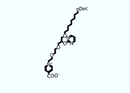 CCCCCCCCCCCCCCCCCCOCC(COCCOCC[n+]1ccc(C(=O)[O-])cc1)Oc1ncccn1